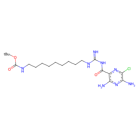 CC(C)(C)OC(=O)NCCCCCCCCCNC(=N)NC(=O)c1nc(Cl)c(N)nc1N